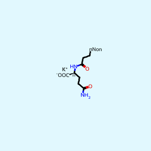 CCCCCCCCCCCC(=O)N[C@@H](CCC(N)=O)C(=O)[O-].[K+]